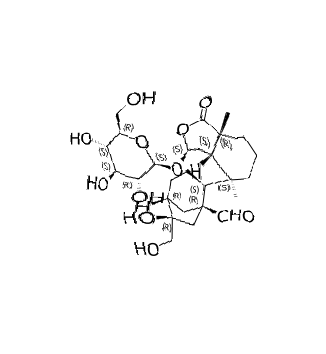 C[C@@]1([C@@H]2CC[C@@H]3C[C@@]2(C=O)C[C@]3(O)CO)CCC[C@@]2(C)C(=O)O[C@H](O[C@@H]3O[C@H](CO)[C@@H](O)[C@H](O)[C@H]3O)[C@@H]12